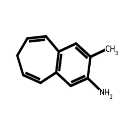 Cc1cc2c(cc1N)C=CCC=C2